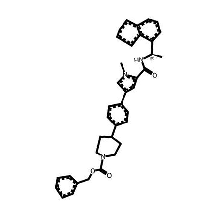 C[C@@H](NC(=O)c1cc(-c2ccc(C3CCN(C(=O)OCc4ccccc4)CC3)cc2)cn1C)c1cccc2ccccc12